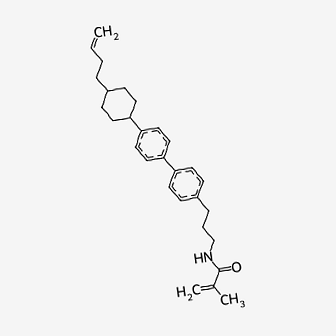 C=CCCC1CCC(c2ccc(-c3ccc(CCCNC(=O)C(=C)C)cc3)cc2)CC1